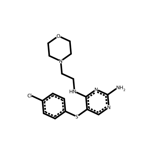 Nc1ncc(Sc2ccc(Cl)cc2)c(NCCN2CCOCC2)n1